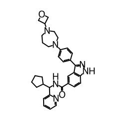 O=C(NC(c1ccccn1)C1CCCC1)c1ccc2[nH]nc(-c3ccc(N4CCCN(C5COC5)CC4)cc3)c2c1